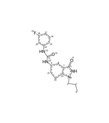 CCCn1[nH]c(=O)c2cc(NC(=O)Nc3cccc(F)c3)ccc21